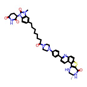 C[C@@H]1CNc2c(sc3ccc4nc(-c5ccc(N6CCN(C(=O)CCCCCCCc7ccc8c(c7)n(C)c(=O)n8C7CCC(=O)NC7=O)CC6)cc5)ccc4c23)C(=O)N1